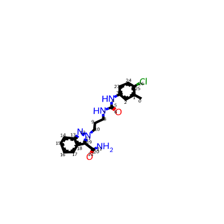 Cc1cc(NC(=O)NCCCn2nc3ccccc3c2C(N)=O)ccc1Cl